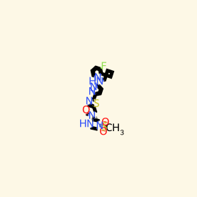 CS(=O)(=O)N1CCN[C@@H](N(C=O)Cc2cnc(-c3ccc(NCC4(c5ncccc5F)CCC4)nn3)s2)C1